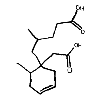 CC(CCC(=O)O)CC1(CC(=O)O)CC=CCC1C